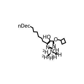 [2H]C([2H])([2H])N(c1nc(CCCCCCCCCCCCCCCC)c(O)c(OC2CCC2)n1)C([2H])([2H])[2H]